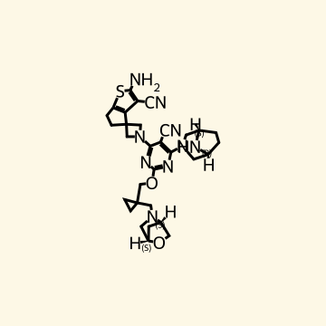 N#Cc1c(N2C[C@H]3CC[C@@H](C2)N3)nc(OCC2(CN3C[C@@H]4C[C@H]3CO4)CC2)nc1N1CC2(CCc3sc(N)c(C#N)c32)C1